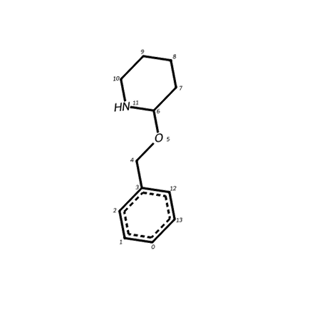 c1ccc(COC2CCCCN2)cc1